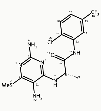 CSc1nc(N)nc(N[C@@H](C)C(=O)Nc2cc(C(F)(F)F)ccc2Cl)c1N